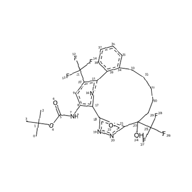 CC(C)(C)OC(=O)Nc1cc(C(F)(F)F)c2nc1-c1nnc(o1)C(O)(C(F)(F)F)CCCCCc1ccccc1-2